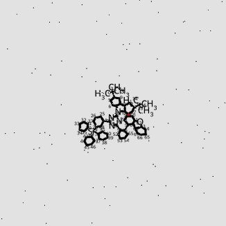 CC(C)(C)c1ccc2c(c1)c1cc(C(C)(C)C)ccc1n2-c1nc(-c2cccc([Si](c3ccccc3)(c3ccccc3)c3ccccc3)c2)nc(-c2ccccc2-c2cccc3oc4ccccc4c23)n1